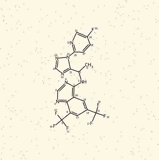 CC(Nc1ncnc2c(C(F)(F)F)cc(C(F)(F)F)cc12)c1ncnn1-c1ccc(F)cn1